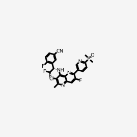 Cc1nc2cc(F)c(-c3ccc(P(C)(C)=O)nc3)nc2c(N[C@@H](c2cc(C#N)ccc2F)C(F)F)c1Cl